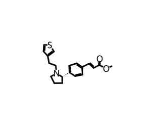 COC(=O)/C=C/c1ccc([C@@H]2CCCN2CCc2ccsc2)cc1